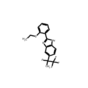 CCSc1ccccc1-c1nc2cc(C(C)(F)C(F)(F)F)ccc2[nH]1